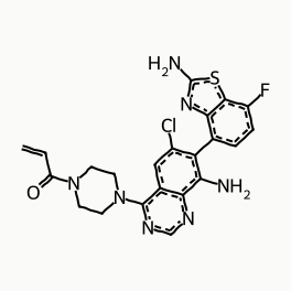 C=CC(=O)N1CCN(c2ncnc3c(N)c(-c4ccc(F)c5sc(N)nc45)c(Cl)cc23)CC1